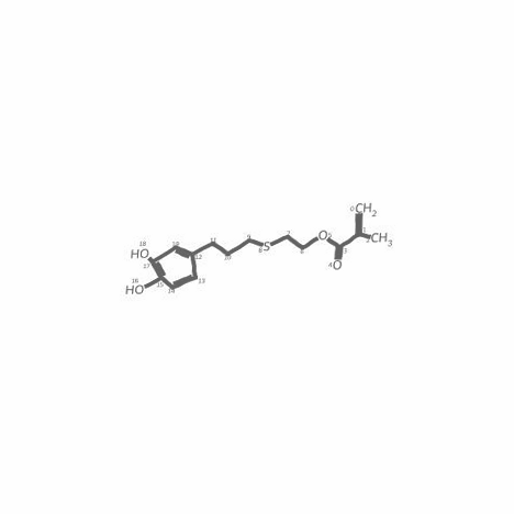 C=C(C)C(=O)OCCSCCCc1ccc(O)c(O)c1